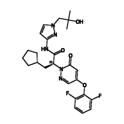 CC(C)(O)Cn1ccc(NC(=O)[C@H](CC2CCCC2)n2ncc(Oc3c(F)cccc3F)cc2=O)n1